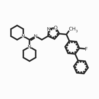 CC(c1ccc(-c2ccccc2)c(F)c1)c1cc(CN=C(N2CCCCC2)N2CCCCC2)no1